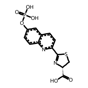 O=C(O)[C@H]1CSC(c2ccc3cc(OP(=O)(O)O)ccc3n2)=N1